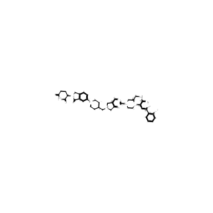 O=C1CCC(N2Cc3ccc(N4CCC(CN5Cc6cnc(N7CCN8c9cc(-c%10ccccc%10O)nnc9NC[C@H]8C7)nc6C5)CC4)cc3C2=O)C(=O)N1